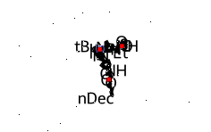 CCCCCCCCCCCCCCOC(=O)CC(=O)Nc1ccc(-c2cn3c(n2)/C(=N\c2ccc(N(CC)CNS(C)(=O)=O)cc2C)C(C(C)(C)C)=N3)cc1